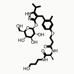 Cc1cc(OCCC(=O)N[C@@H](C)C(=O)NCCCO)ccc1Cc1c(O[C@@H]2O[C@H](CO)[C@@H](O)[C@H](O)[C@H]2O)n[nH]c1C(C)C